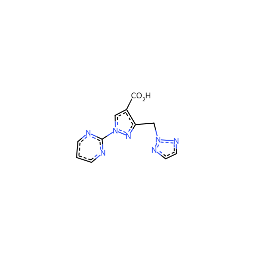 O=C(O)c1cn(-c2ncccn2)nc1Cn1nccn1